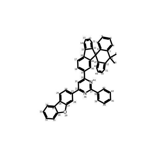 CC1(C)c2ccccc2C2(c3ccccc3-c3ccc(-c4cc(-c5ccc6c(c5)oc5ccccc56)nc(-c5ccccc5)n4)cc32)c2ccccc21